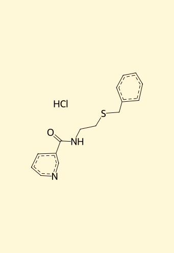 Cl.O=C(NCCSCc1ccccc1)c1cccnc1